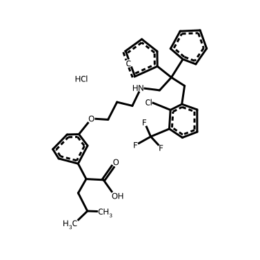 CC(C)CC(C(=O)O)c1cccc(OCCCNCC(Cc2cccc(C(F)(F)F)c2Cl)(c2ccccc2)c2ccccc2)c1.Cl